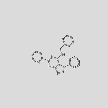 c1ccc(-c2csc3nc(-c4ccccn4)nc(NCc4ccccn4)c23)cc1